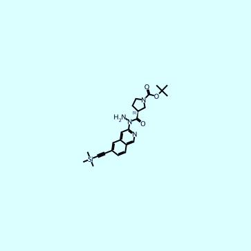 CC(C)(C)OC(=O)N1CC[C@H](C(=O)N(N)c2cc3cc(C#C[Si](C)(C)C)ccc3cn2)C1